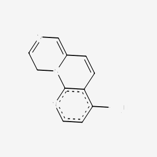 O=C(O)c1ccnc2c1C=CC1=CN=CCN12